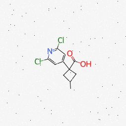 CC1CC(C(=O)O)(c2cc(Cl)nc(Cl)c2)C1